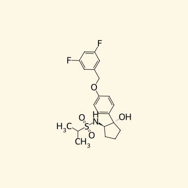 CC(C)S(=O)(=O)N[C@@H]1CCC[C@]1(O)c1ccc(OCc2cc(F)cc(F)c2)cc1